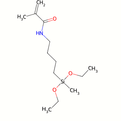 C=C(C)C(=O)NCCCC[Si](C)(OCC)OCC